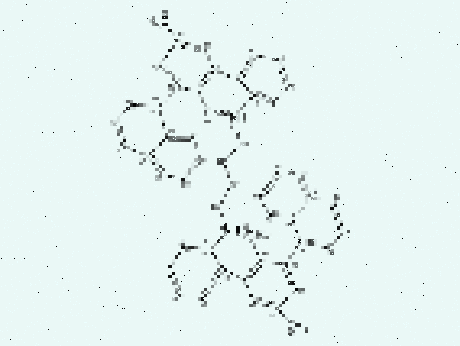 COc1c(-c2ccccc2NCCCCNc2ccccc2-c2cc(C)cc(-c3cccc4ccccc34)c2OC)cc(C)cc1-c1cccc2ccccc12